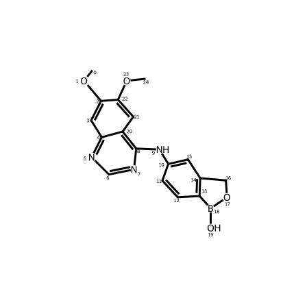 COc1cc2ncnc(Nc3ccc4c(c3)COB4O)c2cc1OC